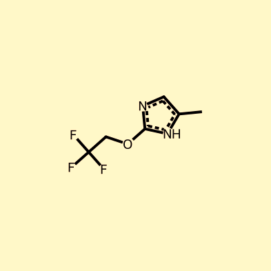 Cc1cnc(OCC(F)(F)F)[nH]1